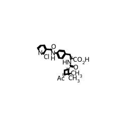 CC(=O)[C@@H]1C[C@H](C(=O)N[C@@H](Cc2ccc(NC(=O)c3cccnc3Cl)cc2)C(=O)O)C1(C)C